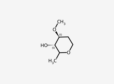 CO[C@H]1CCOC(C)[C@@H]1O